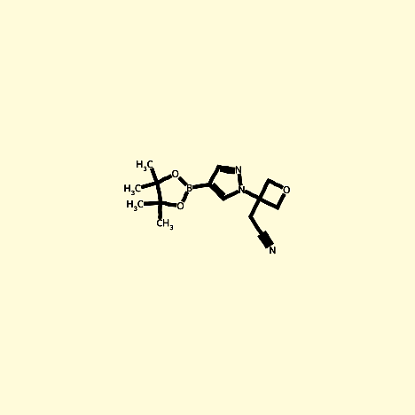 CC1(C)OB(c2cnn(C3(CC#N)COC3)c2)OC1(C)C